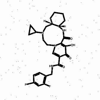 O=C(NCc1ccc(F)cc1F)c1cn2c(c(O)c1=O)C(=O)N[C@H]1CCCC[C@H]1CN(C1CC1)CC2